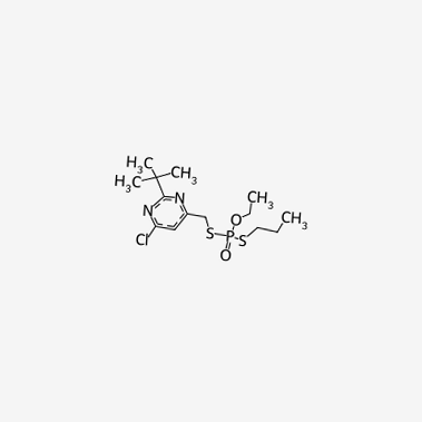 CCCSP(=O)(OCC)SCc1cc(Cl)nc(C(C)(C)C)n1